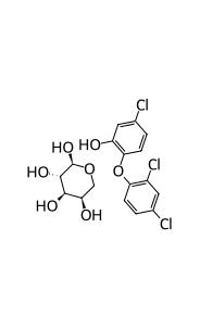 O[C@H]1[C@H](O)[C@@H](O)OC[C@H]1O.Oc1cc(Cl)ccc1Oc1ccc(Cl)cc1Cl